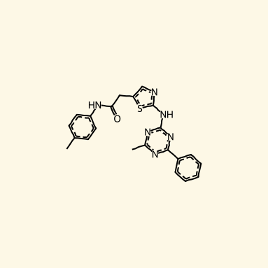 Cc1ccc(NC(=O)Cc2cnc(Nc3nc(C)nc(-c4ccccc4)n3)s2)cc1